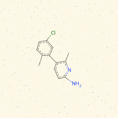 Cc1ccc(Cl)cc1-c1ccc(N)nc1C